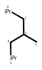 [CH2]C(C)CC(C)CC([CH2])C